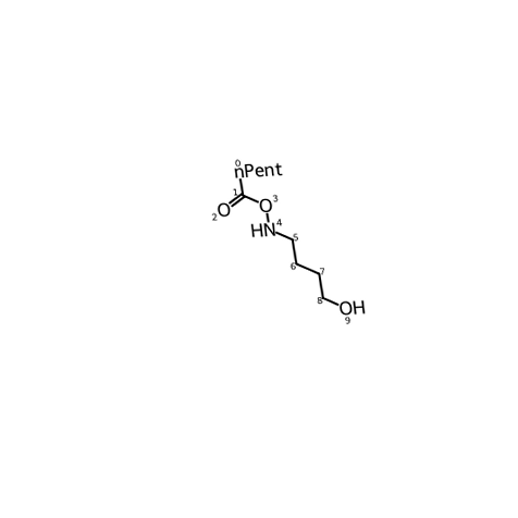 CCCCCC(=O)ONCCCCO